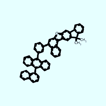 CC1(C)c2ccccc2-c2cc3oc4cc(-c5cccc(-c6c7ccccc7c(-c7cccc8ccccc78)c7ccccc67)c5)c5ccccc5c4c3cc21